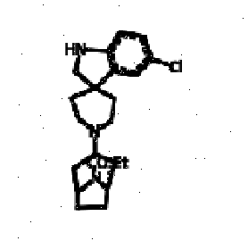 CCOC(=O)N1C2CCC1CC(N1CCC3(CC1)CNc1ccc(Cl)cc13)C2